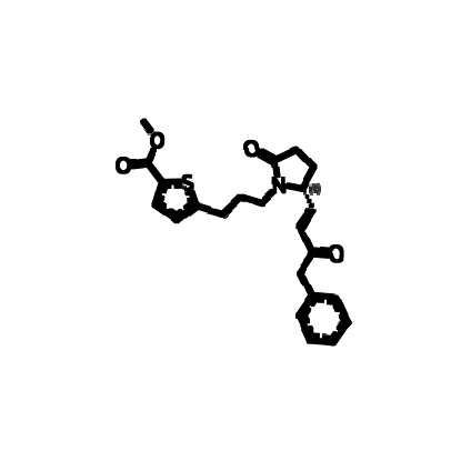 COC(=O)c1ccc(CCCN2C(=O)CC[C@@H]2C=CC(=O)Cc2ccccc2)s1